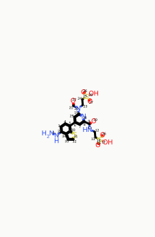 NNc1ccc(-c2cc(C(=O)NCCS(=O)(=O)O)nc(N(C=O)CCS(=O)(=O)O)c2)c2sccc12